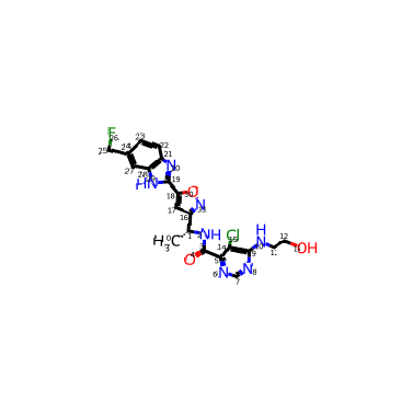 C[C@@H](NC(=O)c1ncnc(NCCO)c1Cl)c1cc(-c2nc3ccc(CF)cc3[nH]2)on1